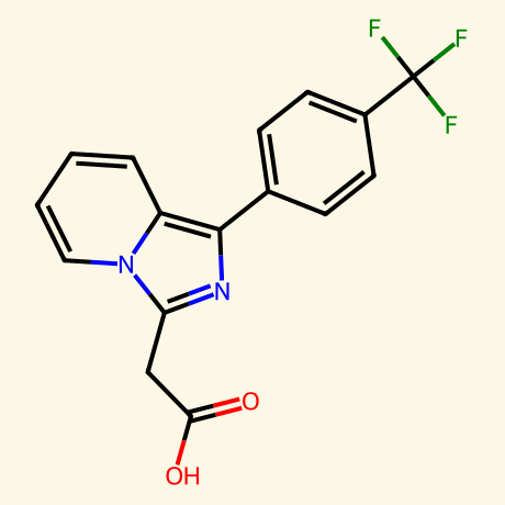 O=C(O)Cc1nc(-c2ccc(C(F)(F)F)cc2)c2ccccn12